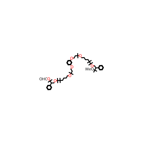 COC(C)(C)C(COC(C)(C)C(C)(C)CCCCOC(C)(C)CCOc1cccc(OCCC(C)(C)OCCCCC(C)(C)C(C)(C)OCC(c2ccccc2)C(C)(C)OC=O)c1)c1ccccc1